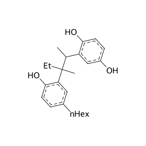 CCCCCCc1ccc(O)c(C(C)(CC)C(C)c2cc(O)ccc2O)c1